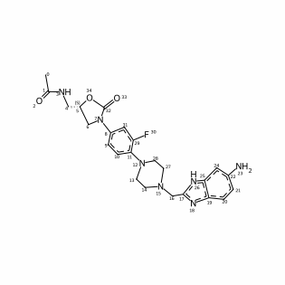 CC(=O)NC[C@H]1CN(c2ccc(N3CCN(Cc4nc5ccc(N)cc5[nH]4)CC3)c(F)c2)C(=O)O1